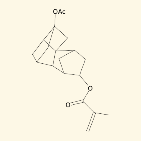 C=C(C)C(=O)OC1CC2CC1C1C3CC4C(OC(C)=O)(C3)CC214